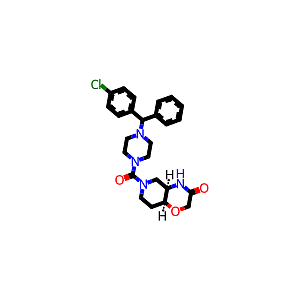 O=C1CO[C@H]2CCN(C(=O)N3CCN(C(c4ccccc4)c4ccc(Cl)cc4)CC3)C[C@H]2N1